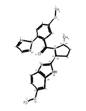 COc1ccc(-n2nccn2)c(C(=O)N2[C@H](C)CC[C@H]2c2nc3ccc(OC)cc3[nH]2)c1